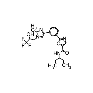 CCC(CC)NC(=O)c1cnc(-c2cccc(-c3cn(CC(O)C(F)(F)F)c(C)n3)c2)o1